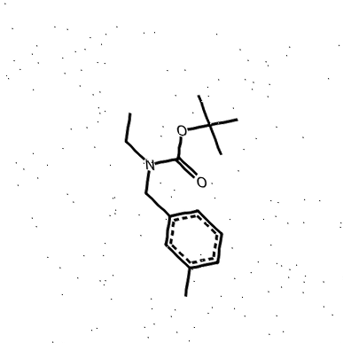 CCN(Cc1cccc(C)c1)C(=O)OC(C)(C)C